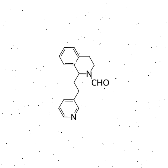 O=CN1CCc2ccccc2C1CCc1cccnc1